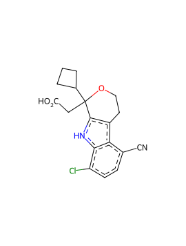 N#Cc1ccc(Cl)c2[nH]c3c(c12)CCOC3(CC(=O)O)C1CCC1